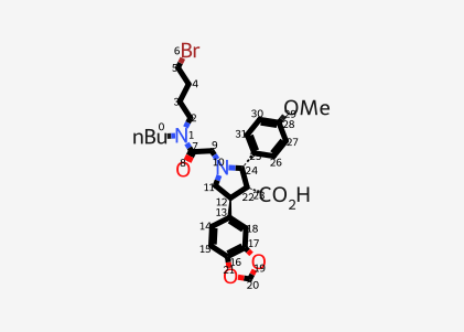 CCCCN(CCCCBr)C(=O)CN1C[C@H](c2ccc3c(c2)OCO3)[C@@H](C(=O)O)[C@H]1c1ccc(OC)cc1